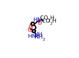 N=C(N)Nc1ccc2c(c1)CCc1c(CCC(=O)N[C@@H](CC(=O)O)C(=O)O)cccc1OC2=O